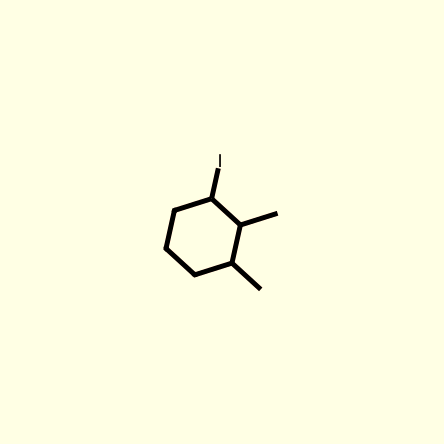 CC1CCCC(I)C1C